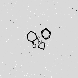 O=C1CCCC[C@@]1(c1ccccc1)N1CCC1